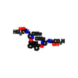 COc1nc(OCc2cccc(-c3cccc(COc4ccc(CN5CC(O)(C(=O)O)C5)c(OC)n4)c3C)c2C)ccc1CN1CC(O)(C(=O)O)C1